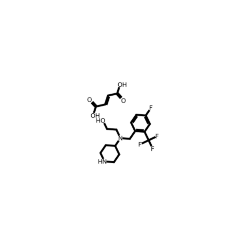 O=C(O)C=CC(=O)O.OCCN(Cc1ccc(F)cc1C(F)(F)F)C1CCNCC1